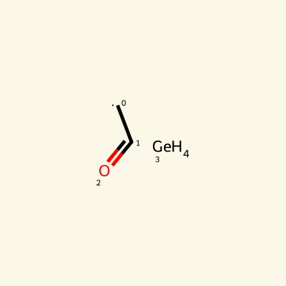 [CH2]C=O.[GeH4]